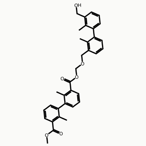 COC(=O)c1cccc(-c2cccc(C(=O)OCOCc3cccc(-c4cccc(CO)c4C)c3C)c2C)c1C